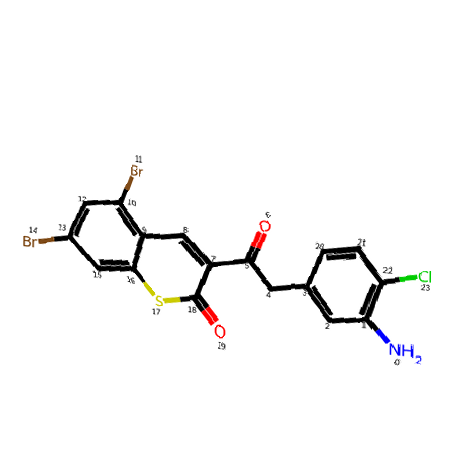 Nc1cc(CC(=O)c2cc3c(Br)cc(Br)cc3sc2=O)ccc1Cl